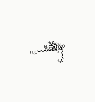 CCCCCCCCCCC[C@@H](C[C@@H]1OC(=O)[C@H]1CCCCCC)O[Si](C(C)C)(C(C)C)C(C)C